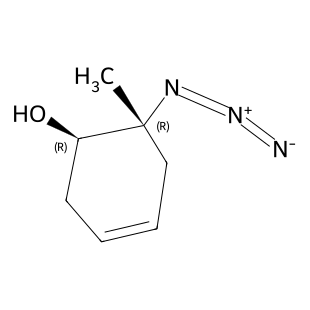 C[C@@]1(N=[N+]=[N-])CC=CC[C@H]1O